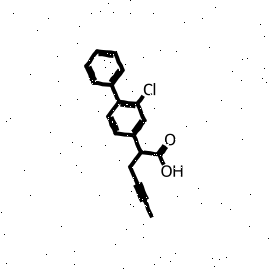 CC#CCC(C(=O)O)c1ccc(-c2ccccc2)c(Cl)c1